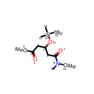 COC(=O)CC(CC(=O)N(C)OC)O[Si](C)(C)C(C)(C)C